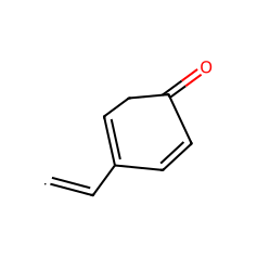 [CH]=CC1=CCC(=O)C=C1